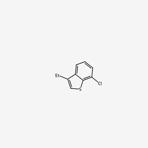 CCc1csc2c(Cl)cccc12